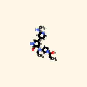 C=CC(=O)N1CC[C@H](N(CC)c2cc(-c3ccnc(NC)c3)c[nH]c2=O)C1